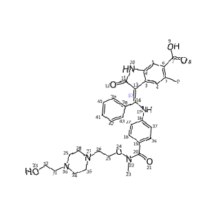 Cc1cc2c(cc1C(=O)O)NC(=O)/C2=C(/Nc1ccc(C(=O)N(C)OCCN2CCN(CCO)CC2)cc1)c1ccccc1